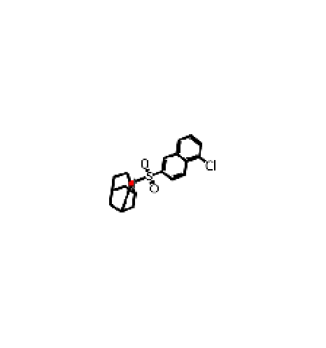 O=S(=O)(c1ccc2c(Cl)cccc2c1)N1C2CC3CC(C2)CC1C3